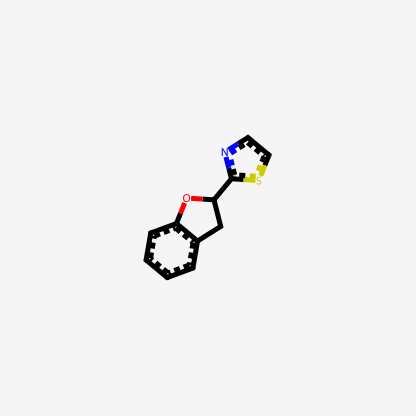 c1ccc2c(c1)CC(c1nccs1)O2